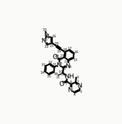 Cc1nccnc1C(=O)N[C@@H](C)c1nc2cccc(C#Cc3cnn(C)c3)c2c(=O)n1-c1ccccc1